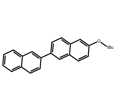 CC(C)(C)Oc1ccc2cc(-c3ccc4ccccc4c3)ccc2c1